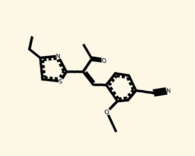 CCc1csc(/C(=C/c2ccc(C#N)cc2OC)C(C)=O)n1